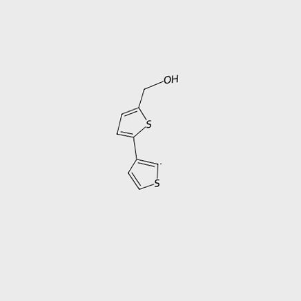 OCc1ccc(-c2[c]scc2)s1